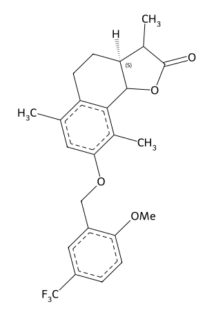 COc1ccc(C(F)(F)F)cc1COc1cc(C)c2c(c1C)C1OC(=O)C(C)[C@@H]1CC2